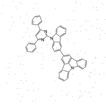 c1ccc(-c2cc(-c3ccccc3)nc(-n3c4ccccc4c4cc(-c5cc6c7ccccc7n7c8ccccc8c(c5)c67)ccc43)n2)cc1